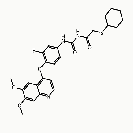 COc1cc2nccc(Oc3ccc(NC(=O)NC(=O)CSC4CCCCC4)cc3F)c2cc1OC